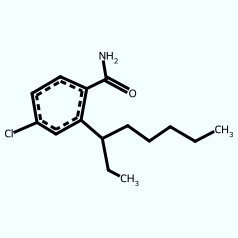 CCCCCC(CC)c1cc(Cl)ccc1C(N)=O